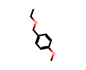 [CH2]COCc1ccc(OC)cc1